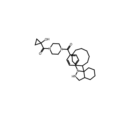 O=C(c1ccc(N2NCC3CCCCC32C2CCCCCCCC2)cc1)N1CCN(C(=O)C2(O)CC2)CC1